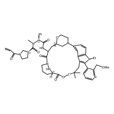 C=CC(=O)N1CC[C@H](C(=O)N(C)[C@H](C(=O)NC2C[C@@H]3CN(CCO3)c3ccc4c(c3)c(c(-c3cccnc3COC)n4CC)CC(C)(C)COC(=O)[C@@H]3CCCN(N3)C2=O)C(C)C)C1